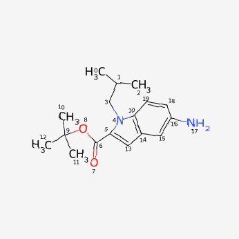 CC(C)Cn1c(C(=O)OC(C)(C)C)cc2cc(N)ccc21